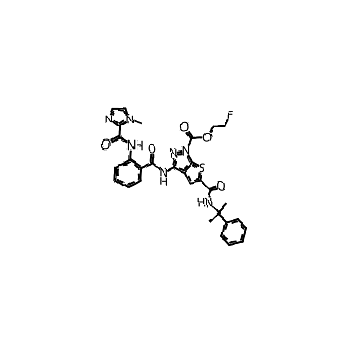 Cn1ccnc1C(=O)Nc1ccccc1C(=O)Nc1nn(C(=O)OCCF)c2sc(C(=O)NC(C)(C)c3ccccc3)cc12